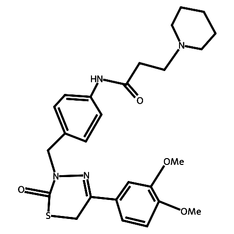 COc1ccc(C2=NN(Cc3ccc(NC(=O)CCN4CCCCC4)cc3)C(=O)SC2)cc1OC